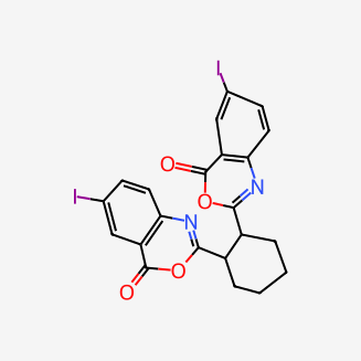 O=c1oc(C2CCCCC2c2nc3ccc(I)cc3c(=O)o2)nc2ccc(I)cc12